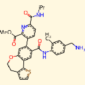 COC(=O)c1nc(C(=O)NC(C)C)ccc1-c1cc2c(cc1C(=O)Nc1ccc(CN)cc1C)-c1sccc1CCO2